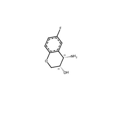 N[C@H]1c2cc(F)ccc2OC[C@H]1O